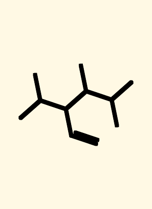 C=CC(C(C)C)C(C)C(C)C